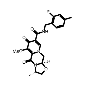 COc1c2n(cc(C(=O)NCc3ccc(C)cc3F)c1=O)C[C@H]1OC[C@H](C)N1C2=O